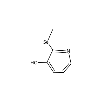 C[Se]c1ncccc1O